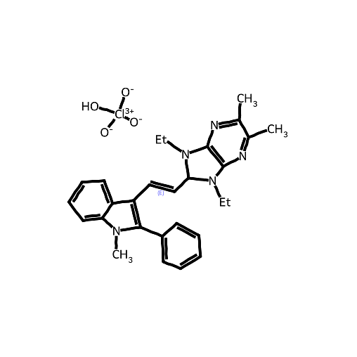 CCN1c2nc(C)c(C)nc2N(CC)C1/C=C/c1c(-c2ccccc2)n(C)c2ccccc12.[O-][Cl+3]([O-])([O-])O